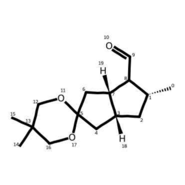 C[C@@H]1C[C@@H]2CC3(C[C@@H]2C1C=O)OCC(C)(C)CO3